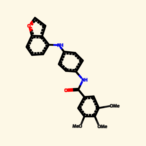 COc1cc(C(=O)Nc2ccc(Nc3cccc4occc34)cc2)cc(OC)c1OC